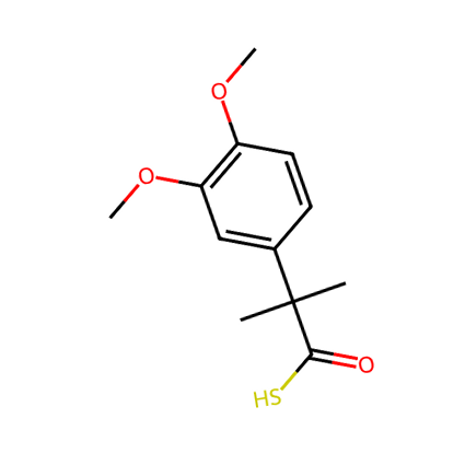 COc1ccc(C(C)(C)C(=O)S)cc1OC